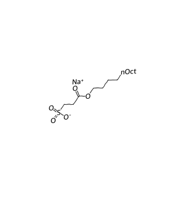 CCCCCCCCCCCCOC(=O)CCS(=O)(=O)[O-].[Na+]